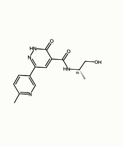 Cc1ccc(-c2cc(C(=O)N[C@@H](C)CO)c(=O)[nH]n2)cn1